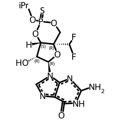 CC(C)OP1(=S)OC[C@@]2(C(F)F)O[C@@H](n3cnc4c(=O)[nH]c(N)nc43)[C@H](O)[C@@H]2O1